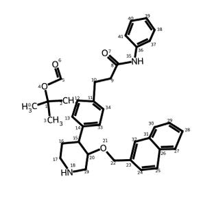 CC(C)(C)OC=O.O=C(CCc1ccc(C2CCNCC2OCc2ccc3ccccc3c2)cc1)Nc1ccccc1